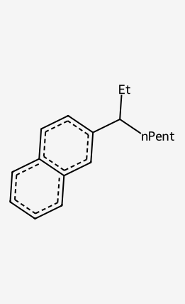 CCCCCC(CC)c1ccc2ccccc2c1